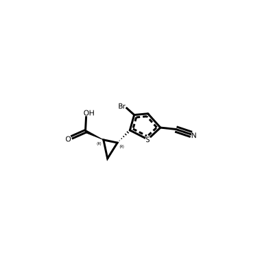 N#Cc1cc(Br)c([C@@H]2C[C@H]2C(=O)O)s1